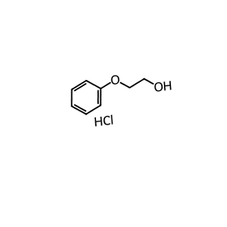 Cl.OCCOc1ccccc1